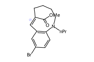 CCCN1CCCC/C(C(=O)OC)=C/c2cc(Br)ccc21